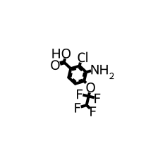 Nc1c(OC(F)(F)C(F)F)ccc(C(=O)O)c1Cl